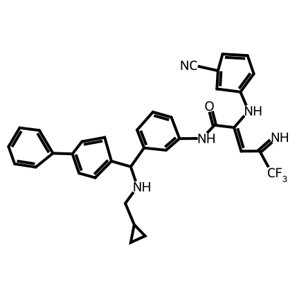 N#Cc1cccc(N/C(=C\C(=N)C(F)(F)F)C(=O)Nc2cccc(C(NCC3CC3)c3ccc(-c4ccccc4)cc3)c2)c1